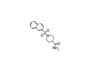 NC(=O)C1CCN(S(=O)(=O)c2ccc3ccccc3c2)CC1